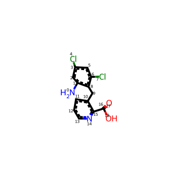 Nc1cc(Cl)cc(Cl)c1Cc1cccnc1C(=O)O